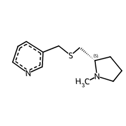 CN1CCC[C@H]1CSCc1cccnc1